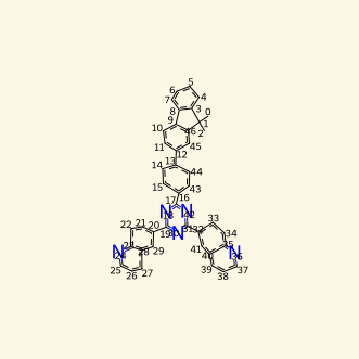 CC1(C)c2ccccc2-c2ccc(-c3ccc(-c4nc(-c5ccc6ncccc6c5)nc(-c5ccc6ncccc6c5)n4)cc3)cc21